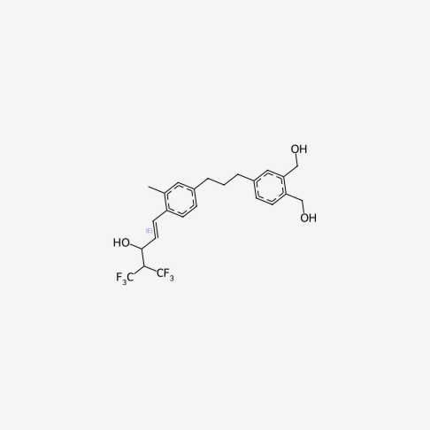 Cc1cc(CCCc2ccc(CO)c(CO)c2)ccc1/C=C/C(O)C(C(F)(F)F)C(F)(F)F